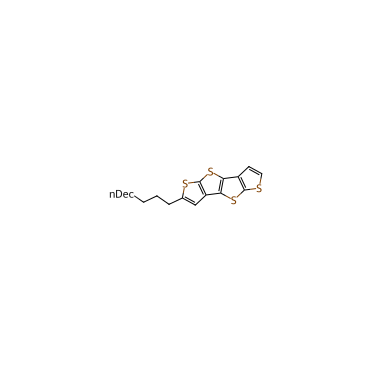 CCCCCCCCCCCCCc1cc2c(s1)sc1c3ccsc3sc21